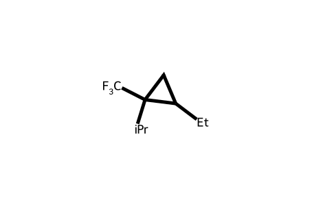 CCC1CC1(C(C)C)C(F)(F)F